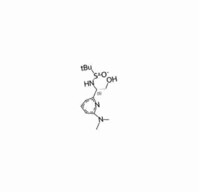 CN(C)c1cccc([C@@H](CO)N[S+]([O-])C(C)(C)C)n1